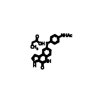 CC(=O)Nc1ccc(Sc2ccc3[nH]c(=O)c4[nH]ccc4c3c2)cc1.CCC(=O)O